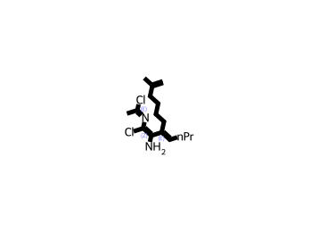 C=C(C)CCCCC(=C\CCC)/C(N)=C(Cl)\N=C(/C)Cl